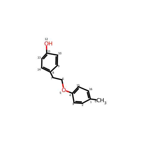 Cc1ccc(OCCc2ccc(O)cc2)cc1